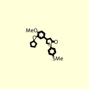 COc1ccc(C2CC(=O)N(c3ccc(SC)cc3)C2)cc1OC1CCCC1